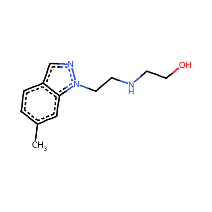 Cc1ccc2cnn(CCNCCO)c2c1